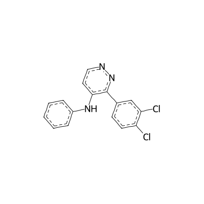 Clc1ccc(-c2nnccc2Nc2ccccc2)cc1Cl